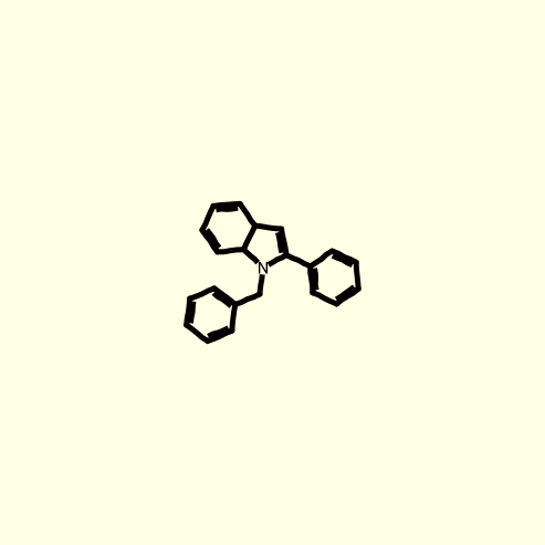 C1=CC2C=C(c3ccccc3)N(Cc3ccccc3)C2C=C1